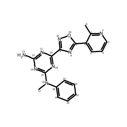 Cc1ncccc1-c1nc(-c2nc(N)nc(N(C)c3ccccc3)n2)no1